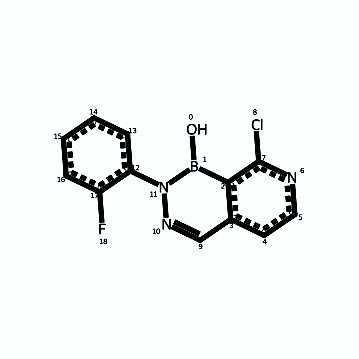 OB1c2c(ccnc2Cl)C=NN1c1ccccc1F